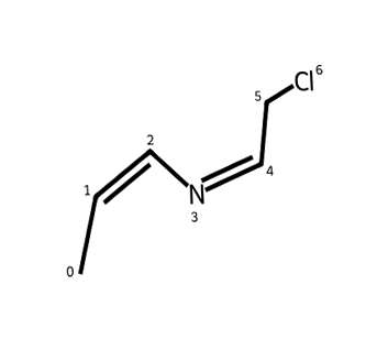 C/C=C\N=C/CCl